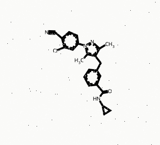 Cc1nn(-c2ccc(C#N)c(Cl)c2)c(C)c1Cc1cccc(C(=O)NC2CC2)c1